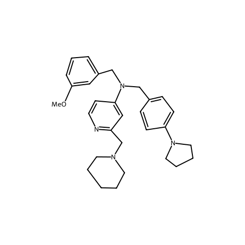 COc1cccc(CN(Cc2ccc(N3CCCC3)cc2)c2ccnc(CN3CCCCC3)c2)c1